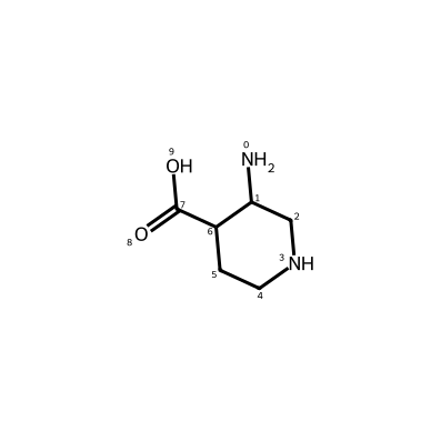 NC1CNCCC1C(=O)O